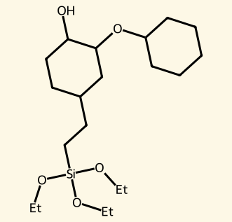 CCO[Si](CCC1CCC(O)C(OC2CCCCC2)C1)(OCC)OCC